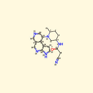 CC1CCC(NC(=O)CC#N)CN1c1cncc2cnc3[nH]ccc3c12